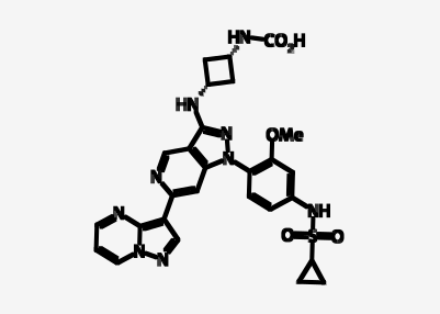 COc1cc(NS(=O)(=O)C2CC2)ccc1-n1nc(N[C@H]2C[C@@H](NC(=O)O)C2)c2cnc(-c3cnn4cccnc34)cc21